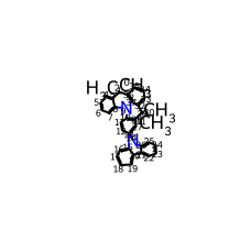 CC1(C)c2ccccc2N2c3ccc(-n4c5ccccc5c5ccccc54)cc3C(C)(C)c3cccc1c32